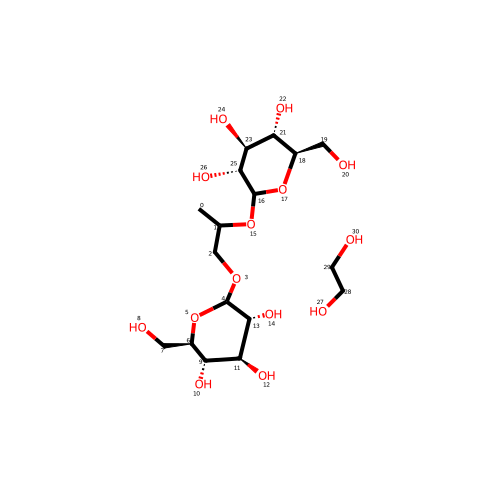 CC(COC1O[C@H](CO)[C@@H](O)[C@H](O)[C@H]1O)OC1O[C@H](CO)[C@@H](O)[C@H](O)[C@H]1O.OCCO